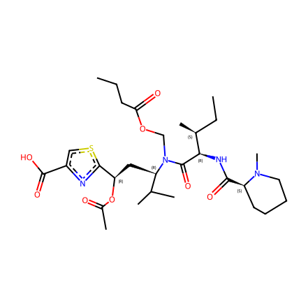 CCCC(=O)OCN(C(=O)[C@H](NC(=O)[C@@H]1CCCCN1C)[C@@H](C)CC)[C@H](C[C@@H](OC(C)=O)c1nc(C(=O)O)cs1)C(C)C